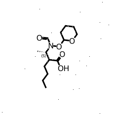 CCCCC(C(=O)O)[C@H](C)N(C=O)OC1CCCCO1